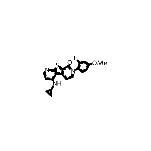 COc1ccc(-n2ccc3c(sc4nccc(NC5CC5)c43)c2=O)c(F)c1